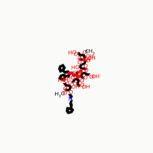 COC1OC(COO)C(OC2OC(COO)C(OC3OC(COO)C(OC4OC(COO)C(OC5OC(COO)C(OC)C(O)C5O)C(O)C4OCC/N=C/C=C/c4ccccc4)C(O)C3OCC/N=C/C=C/c3ccccc3)C(O)C2O)C(O)C1OCC/N=C/C=C/c1ccccc1